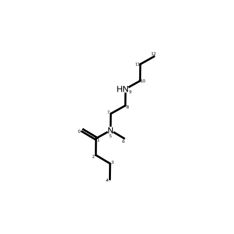 C=C(CCC)N(C)CCNCCC